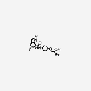 CC(C)C(O)COC1CCC(NC(=O)c2cc(I)cc3cc[nH]c23)CC1